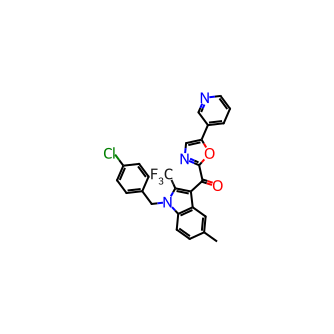 Cc1ccc2c(c1)c(C(=O)c1ncc(-c3cccnc3)o1)c(C(F)(F)F)n2Cc1ccc(Cl)cc1